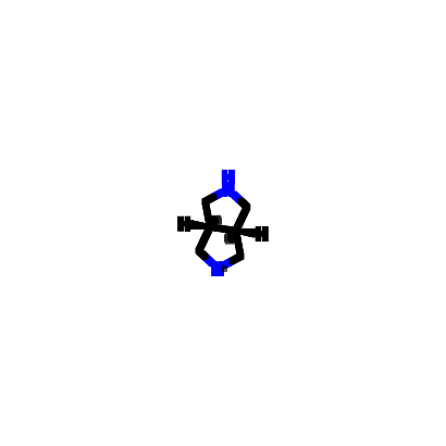 C1[N]C[C@H]2CNC[C@@H]12